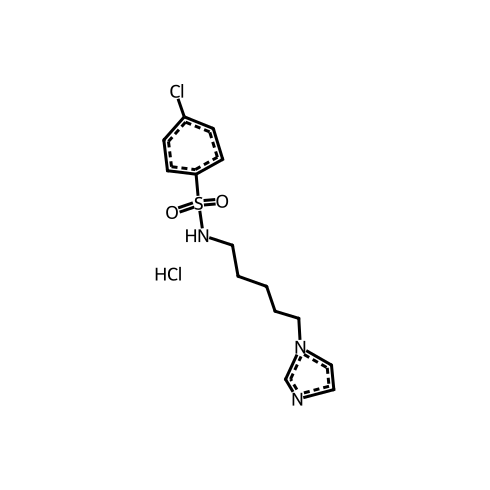 Cl.O=S(=O)(NCCCCCn1ccnc1)c1ccc(Cl)cc1